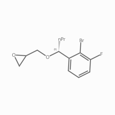 CCC[C@@H](OCC1CO1)c1cccc(F)c1Br